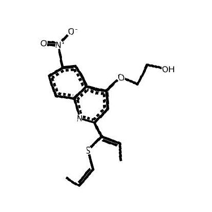 C/C=C\S/C(=C\C)c1cc(OCCO)c2cc([N+](=O)[O-])ccc2n1